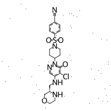 N#Cc1ccc(S(=O)(=O)N2CCC(n3ncc(NC[C@@H]4COCCN4)c(Cl)c3=O)CC2)cc1